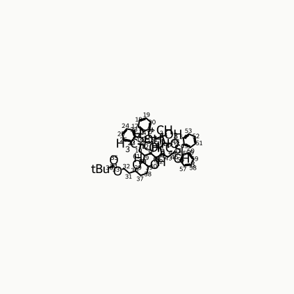 C=CC(C)(O)CC1OC2C(CC(C)(C)[Si](O)(c3ccccc3)c3ccccc3)[C@H]3OC(CCOC(=O)C(C)(C)C)CCC3O[C@H]2C1CC(C)(C)[Si](O)(c1ccccc1)c1ccccc1